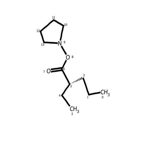 CCC[C@H](CC)C(=O)ON1CCCC1